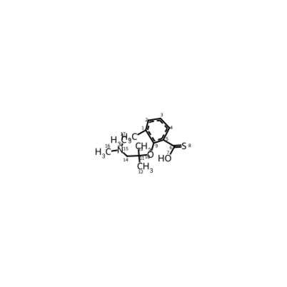 Cc1cccc(C(O)=S)c1OC(C)(C)CN(C)C